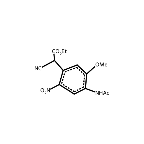 CCOC(=O)C(C#N)c1cc(OC)c(NC(C)=O)cc1[N+](=O)[O-]